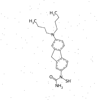 CCCCN(CCCC)c1ccc2c(c1)Cc1cc(N(S)C(N)=O)ccc1-2